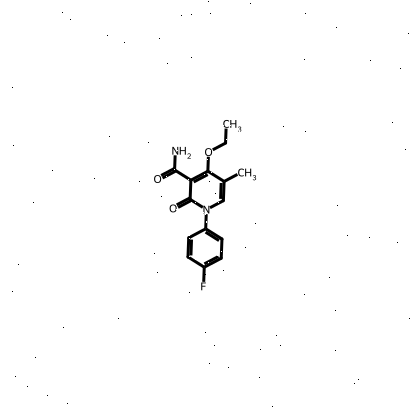 CCOc1c(C)cn(-c2ccc(F)cc2)c(=O)c1C(N)=O